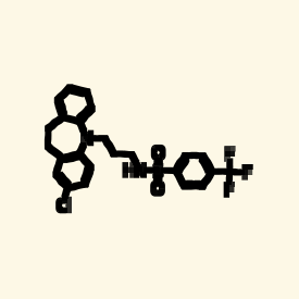 O=S(=O)(NCCCN1c2ccccc2CCc2cc(Cl)ccc21)c1ccc(C(F)(F)F)cc1